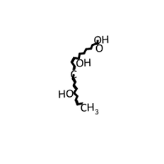 CC/C=C\CC(O)/C=C/C=C/C/C=C/C=C\C(O)CCCCCC(=O)O